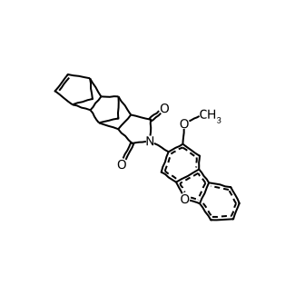 COc1cc2c(cc1N1C(=O)C3C4CC(C3C1=O)C1C3C=CC(C3)C41)oc1ccccc12